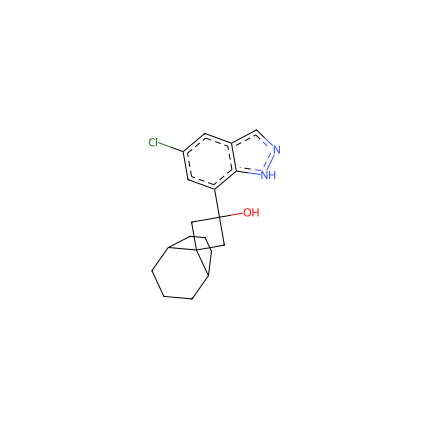 OC1(c2cc(Cl)cc3cn[nH]c23)CC2(C1)C1CCCC2CCC1